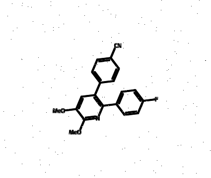 COc1cc(-c2ccc(C#N)cc2)c(-c2ccc(F)cc2)nc1OC